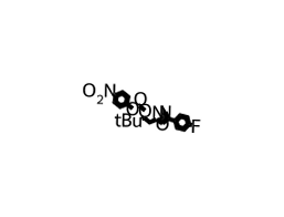 CC(C)(C)C(Cc1nnc(-c2ccc(F)cc2)o1)OC(=O)Oc1ccc([N+](=O)[O-])cc1